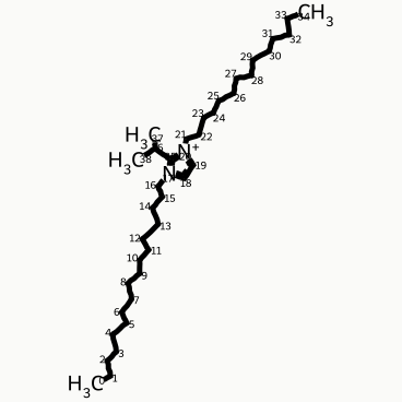 CCCCCCCCCCCCCCCCCn1cc[n+](CCCCCCCCCCCCCC)c1C(C)C